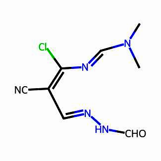 CN(C)C=NC(Cl)=C(C#N)C=NNC=O